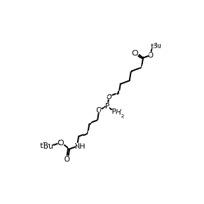 CC(C)(C)OC(=O)CCCCCOP(P)OCCCCNC(=O)OC(C)(C)C